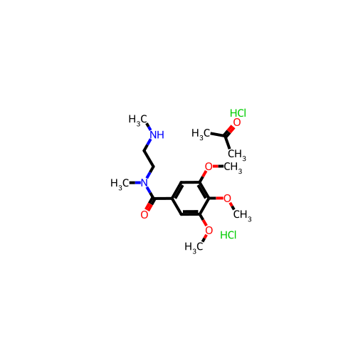 CC(C)=O.CNCCN(C)C(=O)c1cc(OC)c(OC)c(OC)c1.Cl.Cl